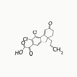 C=CCC12CCC(=O)C=C1c1c(cc(C(=O)C(=O)O)c(Cl)c1Cl)C2